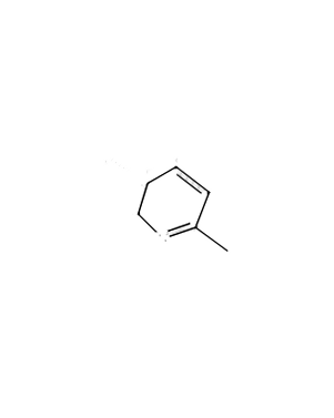 CC1=NC[C@H](C)C=C1